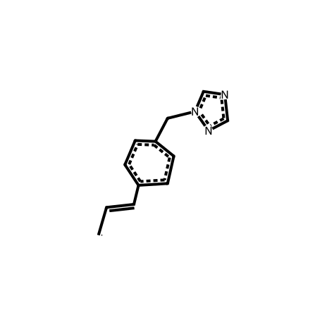 [CH2]C=Cc1ccc(Cn2cncn2)cc1